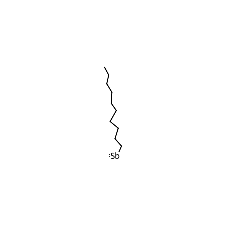 CCCCCCCCC[CH2][Sb]